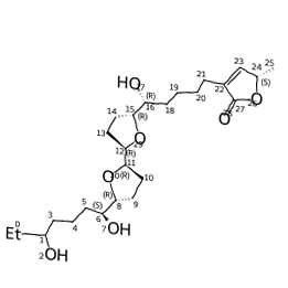 CCC(O)CCC[C@H](O)[C@H]1CC[C@H]([C@H]2CC[C@H]([C@H](O)CCCCC3=C[C@H](C)OC3=O)O2)O1